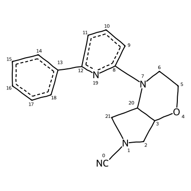 N#CN1CC2OCCN(c3cccc(-c4ccccc4)n3)C2C1